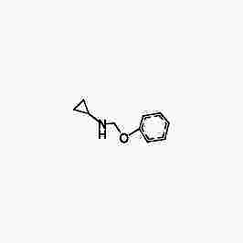 c1ccc(OCNC2CC2)cc1